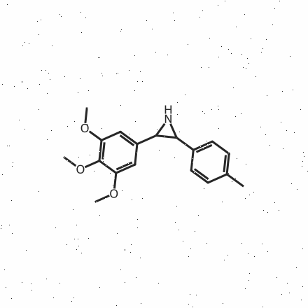 COc1cc(C2NC2c2ccc(C)cc2)cc(OC)c1OC